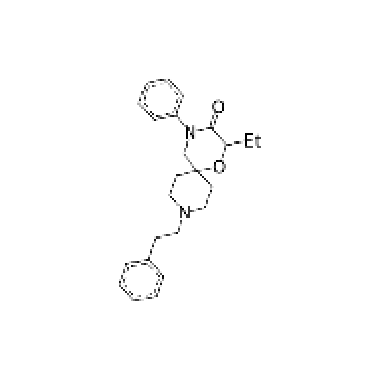 CCC1OC2(CCN(CCc3ccccc3)CC2)CN(c2ccccc2)C1=O